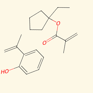 C=C(C)C(=O)OC1(CC)CCCC1.C=C(C)c1ccccc1O